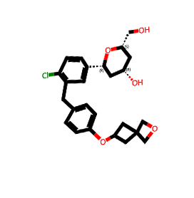 OC[C@@H]1C[C@H](O)C[C@H](c2ccc(Cl)c(Cc3ccc(OC4CC5(COC5)C4)cc3)c2)O1